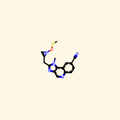 CSON1C=C1Cc1nc2cnc3ccc(C#N)cc3c2n1C